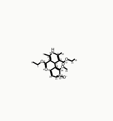 CCOC(=O)C1=C(C)NC(C)=C(C(=O)OCC)C1c1ccc[n+]([O-])c1OC